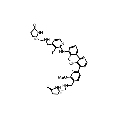 COc1nc(-c2ccnc(-c3cccc(Nc4nccc(CNC[C@@H]5CCC(=O)N5)c4F)c3Cl)c2Cl)ccc1CNC[C@@H]1CCC(=O)N1